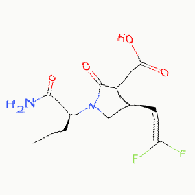 CC[C@@H](C(N)=O)N1C[C@H](C=C(F)F)C(C(=O)O)C1=O